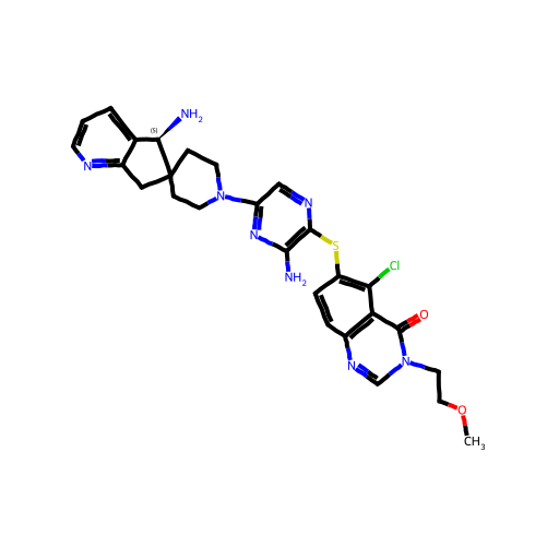 COCCn1cnc2ccc(Sc3ncc(N4CCC5(CC4)Cc4ncccc4[C@H]5N)nc3N)c(Cl)c2c1=O